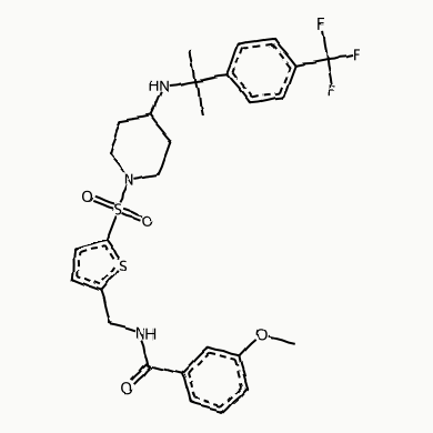 COc1cccc(C(=O)NCc2ccc(S(=O)(=O)N3CCC(NC(C)(C)c4ccc(C(F)(F)F)cc4)CC3)s2)c1